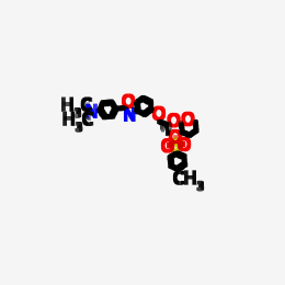 Cc1ccc(S(=O)(=O)OC[C@@H](COc2ccc3oc(-c4ccc(N(C)C)cc4)nc3c2)OC2CCCCO2)cc1